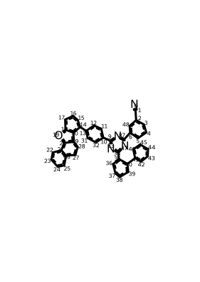 N#Cc1cccc(-c2nc(-c3ccc(-c4cccc5oc6c7ccccc7ccc6c45)cc3)nc(-c3ccccc3-c3ccccc3)n2)c1